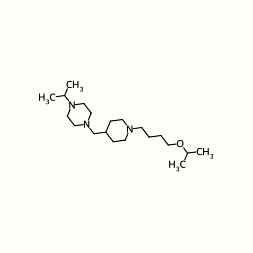 CC(C)OCCCCN1CCC(CN2CCN(C(C)C)CC2)CC1